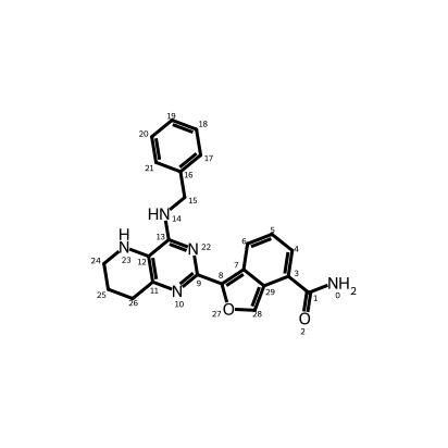 NC(=O)c1cccc2c(-c3nc4c(c(NCc5ccccc5)n3)NCCC4)occ12